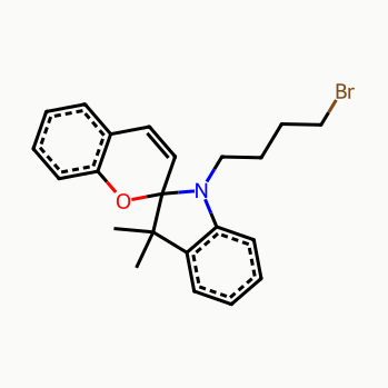 CC1(C)c2ccccc2N(CCCCBr)C12C=Cc1ccccc1O2